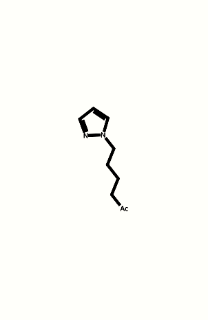 CC(=O)CCCCn1cccn1